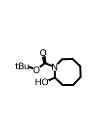 CC(C)(C)OC(=O)N1CCCCCCC1O